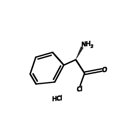 Cl.N[C@H](C(=O)Cl)c1ccccc1